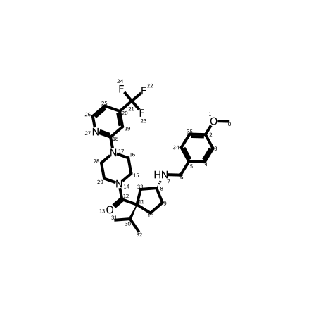 COc1ccc(CN[C@@H]2CC[C@@](C(=O)N3CCN(c4cc(C(F)(F)F)ccn4)CC3)(C(C)C)C2)cc1